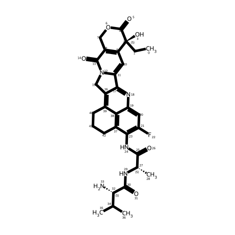 CC[C@@]1(O)C(=O)OCc2c1cc1n(c2=O)Cc2c-1nc1cc(F)c(NC(=O)[C@H](C)NC(=O)[C@@H](N)C(C)C)c3c1c2CCC3